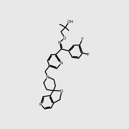 CC(C)(O)CO/N=C(\c1ccc(F)c(F)c1)c1ccc(CN2CCC3(CC2)OCc2ccncc23)cn1